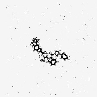 CC(C)(C)C(NC(=O)c1cc2cc(C(F)(F)P(=O)(O)O)ccc2s1)C(=O)N1Cc2ccccc2[C@H]1C(=O)N1CC[C@@H](c2ccccc2)C1